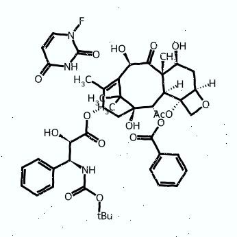 CC(=O)O[C@@]12CO[C@@H]1C[C@H](O)[C@@]1(C)C(=O)[C@H](O)C3=C(C)[C@@H](OC(=O)[C@H](O)[C@@H](NC(=O)OC(C)(C)C)c4ccccc4)C[C@@](O)([C@@H](OC(=O)c4ccccc4)[C@H]21)C3(C)C.O=c1ccn(F)c(=O)[nH]1